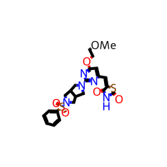 COCCOc1cc(C=C2SC(=O)NC2=O)nc(N2CC3CN(S(=O)(=O)c4ccccc4)CC3C2)n1